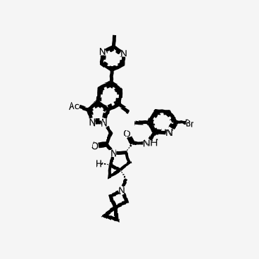 CC(=O)c1nn(CC(=O)N2[C@H](C(=O)Nc3nc(Br)ccc3C)C[C@@]3(CN4CC5(CC5)C4)C[C@@H]23)c2c(C)cc(-c3cnc(C)nc3)cc12